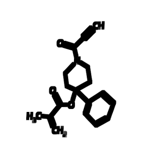 C#CC(=O)N1CCC(OC(=O)C(=C)C)(c2ccccc2)CC1